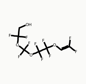 OCC(F)(F)OC(F)(F)OC(F)(F)C(F)(F)OC=C(F)F